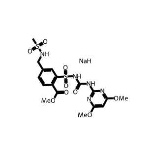 COC(=O)c1ccc(CNS(C)(=O)=O)cc1S(=O)(=O)NC(=O)Nc1nc(OC)cc(OC)n1.[NaH]